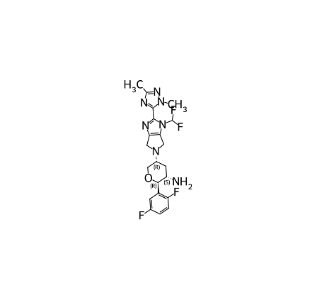 Cc1nc(-c2nc3c(n2C(F)F)CN([C@H]2CO[C@H](c4cc(F)ccc4F)[C@@H](N)C2)C3)n(C)n1